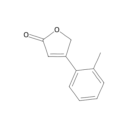 Cc1ccccc1C1=CC(=O)OC1